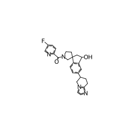 O=C(c1ccc(F)cn1)N1CCC2(CC(O)c3cc(C4CCc5nccn5C4)ccc32)C1